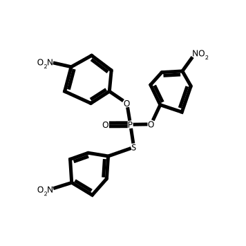 O=[N+]([O-])c1ccc(OP(=O)(Oc2ccc([N+](=O)[O-])cc2)Sc2ccc([N+](=O)[O-])cc2)cc1